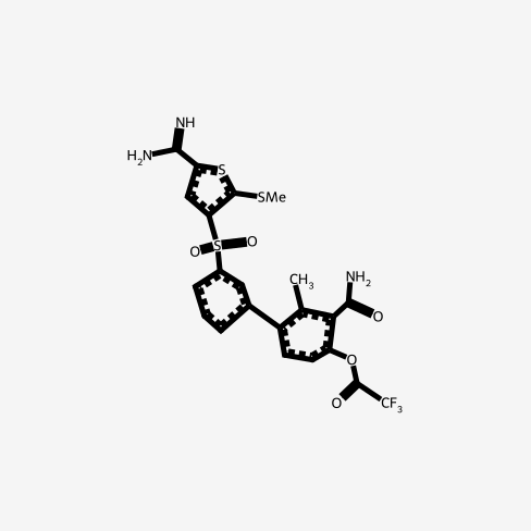 CSc1sc(C(=N)N)cc1S(=O)(=O)c1cccc(-c2ccc(OC(=O)C(F)(F)F)c(C(N)=O)c2C)c1